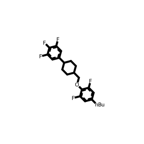 CCCCc1cc(F)c(OCC2CCC(c3cc(F)c(F)c(F)c3)CC2)c(F)c1